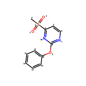 CS(=O)(=O)c1ccnc(Oc2ccccc2)n1